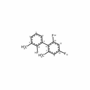 Cc1cccc(-c2c(C)cc(F)cc2F)c1F